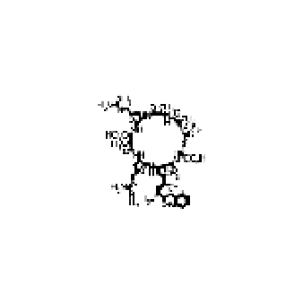 C=C1C(=O)NC(C)C(=O)NC(CCCN=C(N)N)C(=O)NC(C(=O)O)C(C)C(=O)NC(CCCN=C(N)N)C(=O)NC(C=CC(C)=CC(C)C(Cc2ccccc2)OC)C(C)C(=O)NC(C(=O)O)CCC(=O)N1C